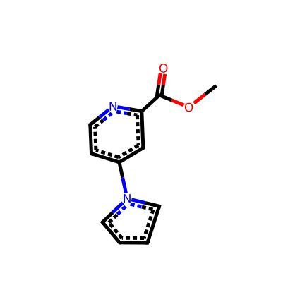 COC(=O)c1cc(-n2cccc2)ccn1